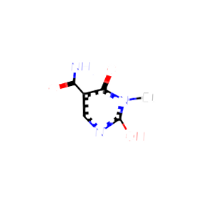 CCn1c(O)ncc(C(N)=O)c1=O